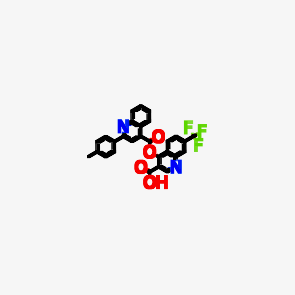 Cc1ccc(-c2cc(C(=O)Oc3c(C(=O)O)cnc4cc(C(F)(F)F)ccc34)c3ccccc3n2)cc1